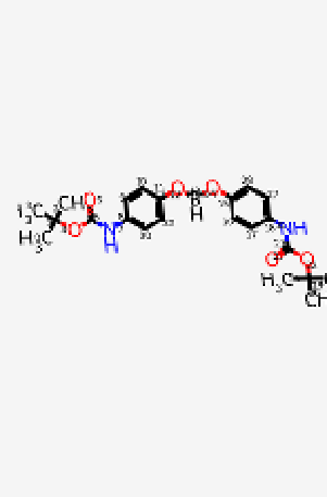 CC(C)(C)OC(=O)Nc1ccc(OBOc2ccc(NC(=O)OC(C)(C)C)cc2)cc1